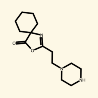 O=C1OC(CCN2CCNCC2)=NC12CCCCC2